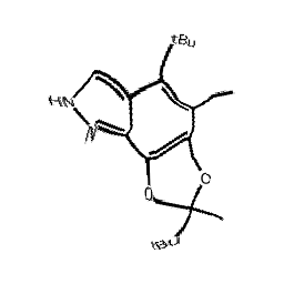 Cc1c2c(c3n[nH]cc3c1C(C)(C)C)OC(C)(C(C)(C)C)O2